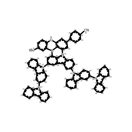 CC(C)(C)c1ccc2c(c1)B1c3c(cc(-c4ccc(C#N)cc4)cc3-n3c4ccc(-n5c6ccccc6c6cc(-n7c8ccccc8c8ccccc87)ccc65)cc4c4cc(-n5c6ccccc6c6cc(-n7c8ccccc8c8ccccc87)ccc65)cc1c43)O2